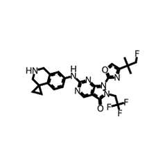 CC(C)(CF)c1coc(-n2c3nc(Nc4ccc5c(c4)CNCC54CC4)ncc3c(=O)n2CC(F)(F)F)n1